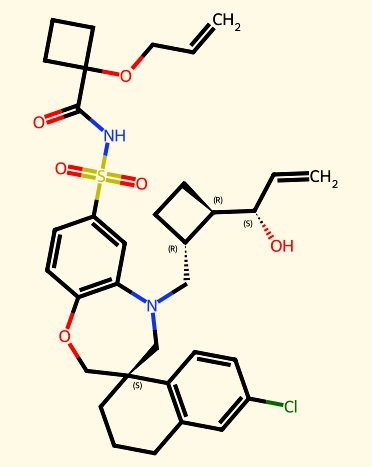 C=CCOC1(C(=O)NS(=O)(=O)c2ccc3c(c2)N(C[C@@H]2CC[C@H]2[C@@H](O)C=C)C[C@@]2(CCCc4cc(Cl)ccc42)CO3)CCC1